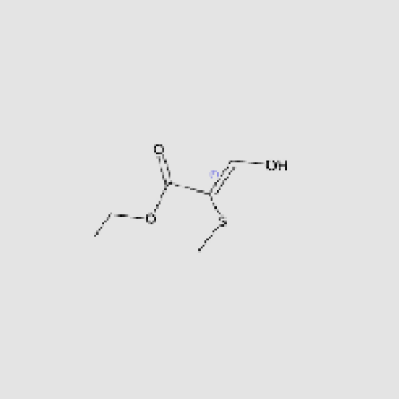 CCOC(=O)/C(=C/O)SC